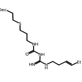 CCC=CCCNC(=N)NC(=O)NCCCSCCCCCCCCCCCC